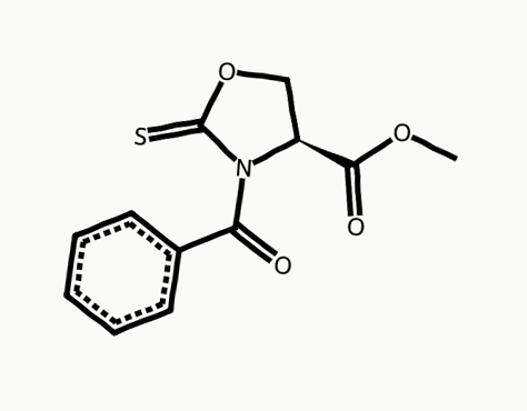 COC(=O)[C@@H]1COC(=S)N1C(=O)c1ccccc1